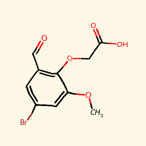 COc1cc(Br)cc(C=O)c1OCC(=O)O